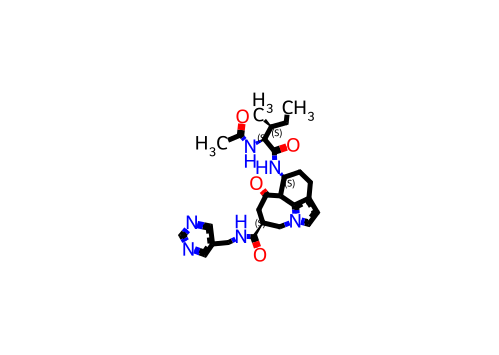 CC[C@H](C)[C@H](NC(C)=O)C(=O)N[C@H]1CCc2ccn3c2C1C(=O)C[C@H](C(=O)NCc1cncnc1)C3